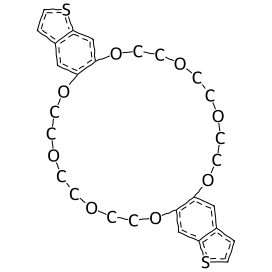 c1cc2cc3c(cc2s1)OCCOCCOCCOc1cc2ccsc2cc1OCCOCCOCCO3